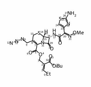 CC/C=C(/COC(=O)C1=C(CN=[N+]=[N-])CS[C@@H]2[C@H](NC(=O)/C(=N/OC)c3csc(N)n3)C(=O)N12)C(=O)OCC(C)C